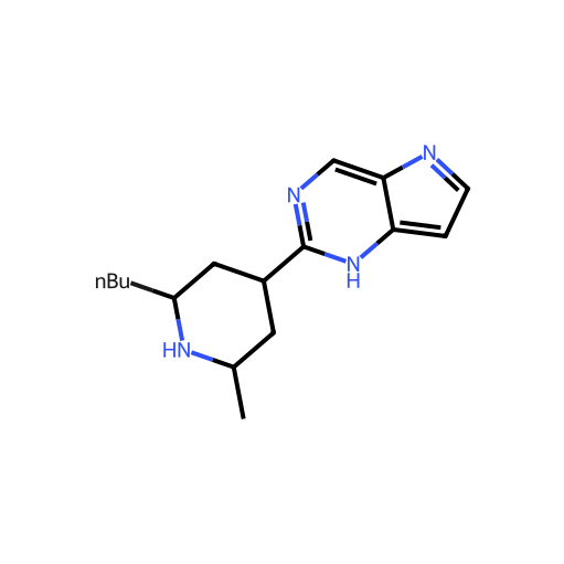 CCCCC1CC(c2ncc3nccc-3[nH]2)CC(C)N1